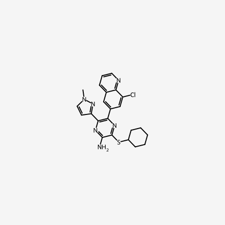 Cn1ccc(-c2nc(N)c(SC3CCCCC3)nc2-c2cc(Cl)c3ncccc3c2)n1